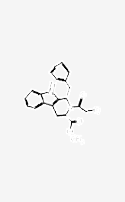 COC(=O)[C@H]1Cc2c([nH]c3ccccc23)[C@@H](Cc2ccccc2)N1C(=O)CCl